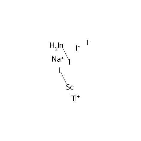 [I-].[I-].[InH2][I].[Na+].[Sc][I].[Tl+]